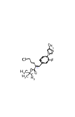 Cc1cn(-c2ccc(/C=C(\CCCCl)C(=O)OC(C)(C)C)cc2F)cn1